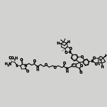 CC1(C)[C@@H]2C[C@H]1C1OB(c3ccc4c(c3)Oc3cc(B5OC6C[C@@H]7C[C@@H](C7(C)C)[C@]6(C)O5)ccc3C43OC(=O)c4cc(NC(=O)CCOCCOCCNC(=O)CCN5C(=O)CC(SC[C@H](N)C(=O)O)C5=O)ccc43)O[C@@]1(C)C2